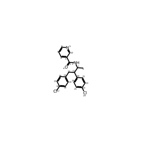 CC(NC(=O)c1cccnc1)C(Cc1ccc(Cl)cc1)c1ccc(Cl)cc1